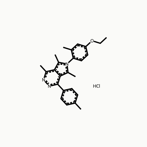 CCOc1ccc(-n2c(C)c3c(C)nnc(-c4ccc(C)cc4)c3c2C)c(C)c1.Cl